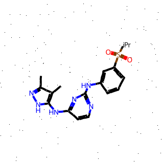 Cc1n[nH]c(Nc2ccnc(Nc3cccc(S(=O)(=O)C(C)C)c3)n2)c1C